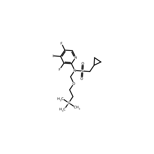 C[Si](C)(C)CCOCN(c1ncc(F)c(I)c1F)S(=O)(=O)CC1CC1